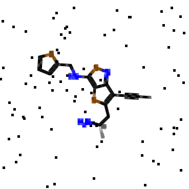 CC#Cc1c(C[C@H](C)N)sc2c(NCc3cccs3)snc12